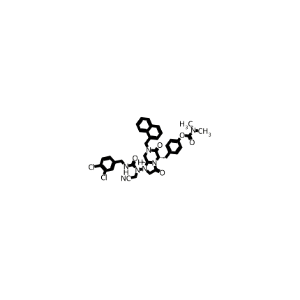 CN(C)C(=O)Oc1ccc(C[C@H]2C(=O)N(Cc3cccc4ccccc34)C[C@H]3N2C(=O)CN3N(CC#N)C(=O)NCc2ccc(Cl)c(Cl)c2)cc1